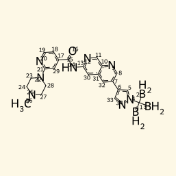 BC(B)(B)n1cc(-c2cnc3cnc(NC(=O)c4ccnc(N5CCN(C)CC5)c4)cc3c2)cn1